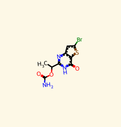 CC(OC(N)=O)c1nc2cc(Br)sc2c(=O)[nH]1